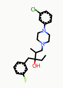 CCC(O)(Cc1cccc(F)c1)C(C)CN1CCN(c2cccc(Cl)c2)CC1